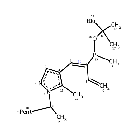 C=C/C(=C\c1cnn(C(C)CCCCC)c1C)P(C)OC(C)(C)C(C)(C)C